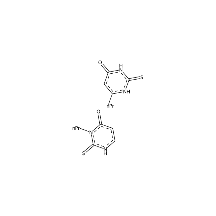 CCCc1cc(=O)[nH]c(=S)[nH]1.CCCn1c(=O)cc[nH]c1=S